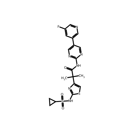 CC(C)(C(=O)Nc1ncc(-c2cncc(F)c2)cn1)c1csc(NS(=O)(=O)C2CC2)n1